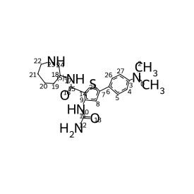 CN(C)c1ccc(-c2cc(NC(N)=O)c(C(=O)N[C@H]3CCCCNC3)s2)cc1